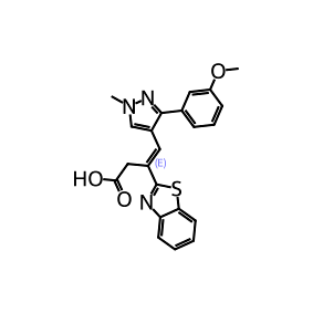 COc1cccc(-c2nn(C)cc2/C=C(\CC(=O)O)c2nc3ccccc3s2)c1